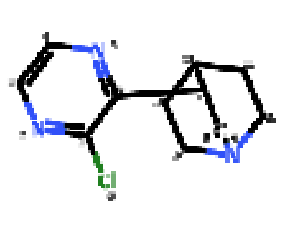 Clc1nccnc1C1CN2CCC1CC2